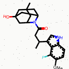 COc1ccc2[nH]cc(C(C)CC(=O)N3C4CC5(C)CC3CC(O)(C4)C5)c2c1F